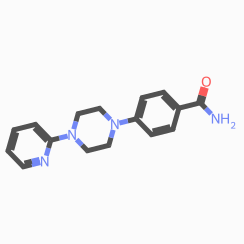 NC(=O)c1ccc(N2CCN(c3ccccn3)CC2)cc1